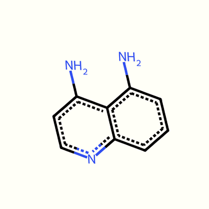 Nc1cccc2nccc(N)c12